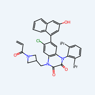 C=CC(=O)N1CC(Cn2c(=O)c(=O)n(-c3c(C(C)C)cccc3C(C)C)c3cc(-c4cc(O)cc5ccccc45)c(Cl)cc32)C1